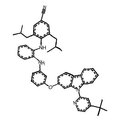 CC(C)Cc1cc(C#N)cc(CC(C)C)c1Nc1ccccc1Nc1cccc(Oc2ccc3c4ccccc4n(-c4cc(C(C)(C)C)ccn4)c3c2)c1